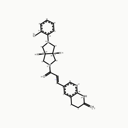 C=C1CCc2cc(/C=C/C(=O)N3C[C@@H]4CN(c5ccccc5Cl)C[C@@H]4C3)cnc2N1